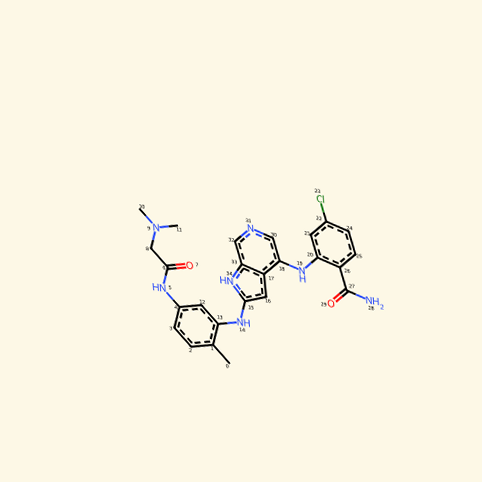 Cc1ccc(NC(=O)CN(C)C)cc1Nc1cc2c(Nc3cc(Cl)ccc3C(N)=O)cncc2[nH]1